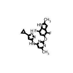 Cc1cc(Nc2cc(C3CC3)[nH]n2)nc(Oc2cc(F)c3[nH]c(C)cc3c2F)n1